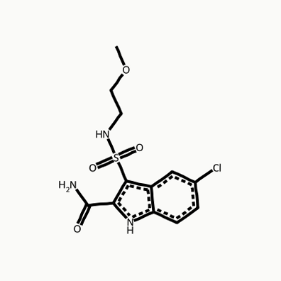 COCCNS(=O)(=O)c1c(C(N)=O)[nH]c2ccc(Cl)cc12